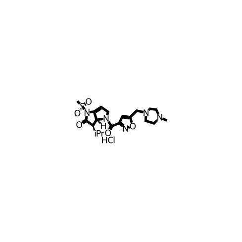 CC(C)[C@H]1C(=O)N(S(C)(=O)=O)C2=CCN(C(=O)c3cc(CN4CCN(C)CC4)on3)[C@@H]21.Cl